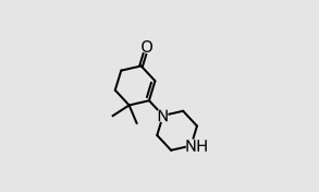 CC1(C)CCC(=O)C=C1N1CCNCC1